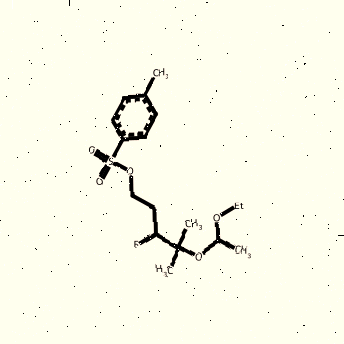 CCOC(C)OC(C)(C)C(F)CCOS(=O)(=O)c1ccc(C)cc1